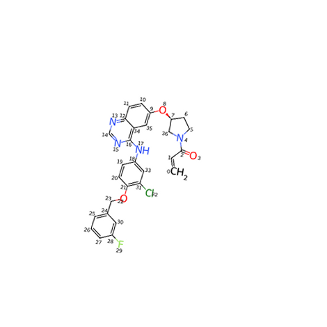 C=CC(=O)N1CC[C@H](Oc2ccc3ncnc(Nc4ccc(OCc5cccc(F)c5)c(Cl)c4)c3c2)C1